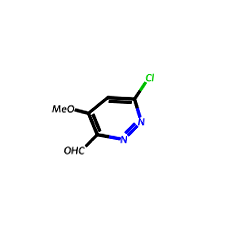 COc1cc(Cl)nnc1C=O